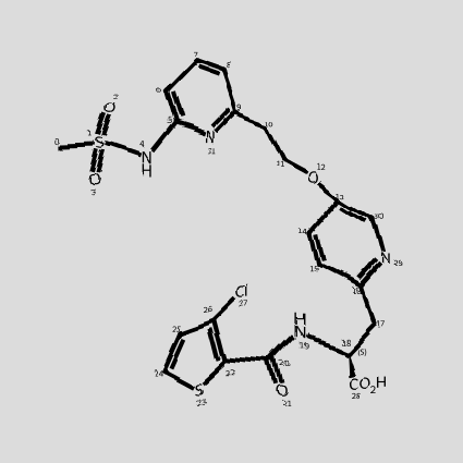 CS(=O)(=O)Nc1cccc(CCOc2ccc(C[C@H](NC(=O)c3sccc3Cl)C(=O)O)nc2)n1